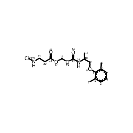 Cc1cccc(C)c1OCC(C)NC(=O)OCOC(=O)CCNCl